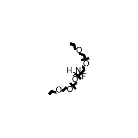 C=CCOCCOC(C)(C)COC(C)(C)C(N)(F)CCOC(C)(C)CCOCC=C